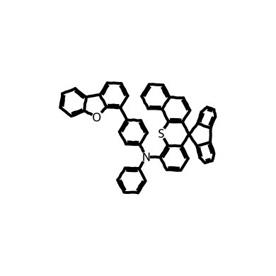 c1ccc(N(c2ccc(-c3cccc4c3oc3ccccc34)cc2)c2cccc3c2Sc2c(ccc4ccccc24)C32c3ccccc3-c3ccccc32)cc1